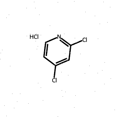 Cl.Clc1ccnc(Cl)c1